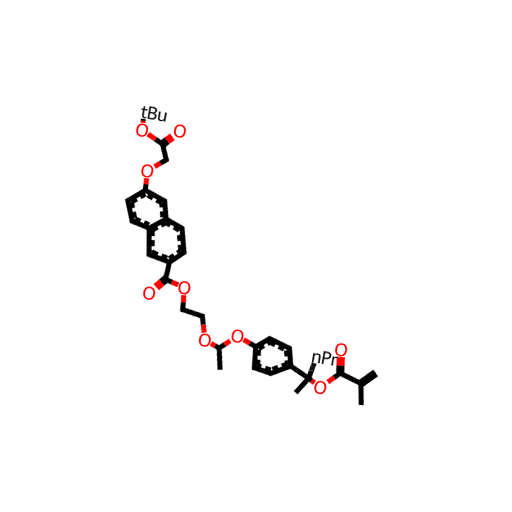 C=C(C)C(=O)OC(C)(CCC)c1ccc(OC(C)OCCOC(=O)c2ccc3cc(OCC(=O)OC(C)(C)C)ccc3c2)cc1